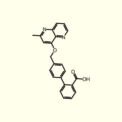 Cc1cc(OCc2ccc(-c3ccccc3C(=O)O)cc2)c2ncccc2n1